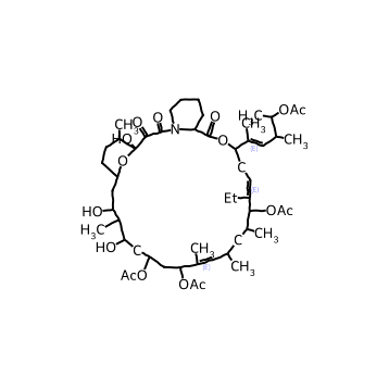 CC/C1=C\CC(/C(C)=C/C(C)C(C)OC(C)=O)OC(=O)C2CCCCN2C(=O)C(=O)C2(O)OC(CCC2C)CC(O)C(C)C(O)CC(OC(C)=O)CC(OC(C)=O)/C(C)=C/C(C)CC(C)C1OC(C)=O